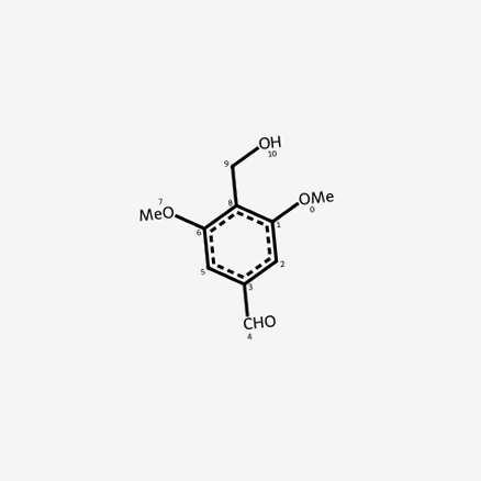 COc1cc(C=O)cc(OC)c1CO